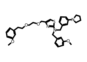 COc1cccc(CCOCCOCc2csc(N(Cc3cccc(OC)c3)Cc3cccc(N4CCCC4)c3)n2)c1